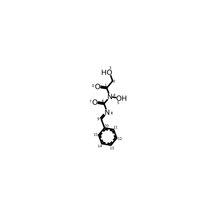 O=C(CO)N(O)C(=O)N=Cc1ccccc1